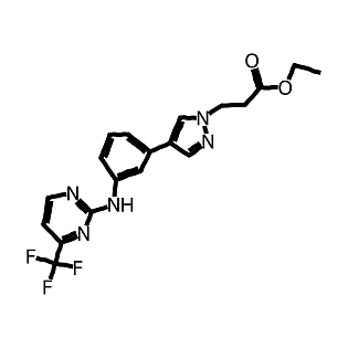 CCOC(=O)CCn1cc(-c2cccc(Nc3nccc(C(F)(F)F)n3)c2)cn1